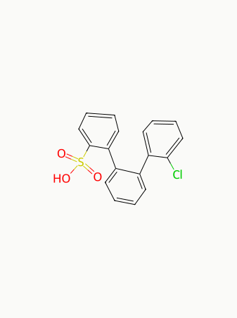 O=S(=O)(O)c1ccccc1-c1ccccc1-c1ccccc1Cl